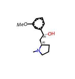 COc1cccc([C@H](O)C[C@H]2CCCN2C)c1